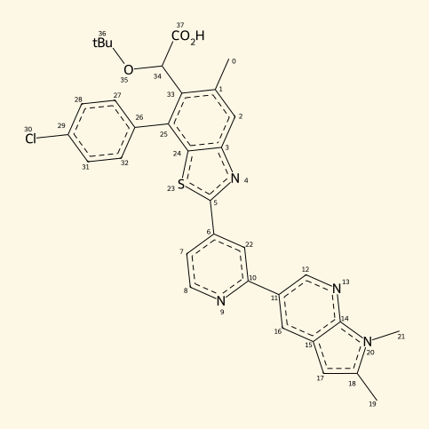 Cc1cc2nc(-c3ccnc(-c4cnc5c(c4)cc(C)n5C)c3)sc2c(-c2ccc(Cl)cc2)c1C(OC(C)(C)C)C(=O)O